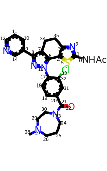 CC(=O)Nc1nc2c(s1)-c1c(c(-c3cccnc3)nn1-c1ccc(C(=O)N3CCCN(C)CC3)cc1Cl)CC2